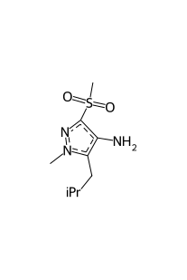 CC(C)Cc1c(N)c(S(C)(=O)=O)nn1C